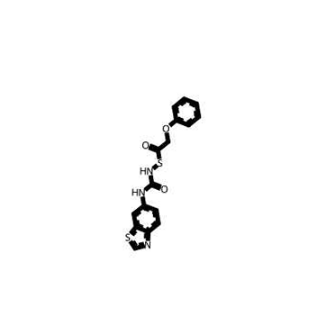 O=C(NSC(=O)COc1ccccc1)Nc1ccc2ncsc2c1